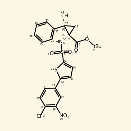 CC(C)(C)OC(=O)[C@]1(NS(=O)(=O)c2ccc(-c3ccc(Cl)c([N+](=O)[O-])c3)s2)C[C@]1(C)c1ccccc1